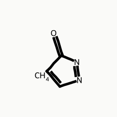 C.O=C1C=CN=N1